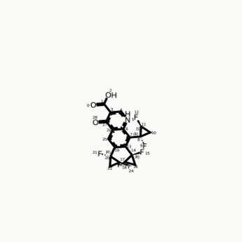 O=C(O)c1c[nH]c2c([C@]3(F)C[C@@H]3F)c([C@]3(F)C[C@@H]3F)c([C@]3(F)C[C@@H]3F)cc2c1=O